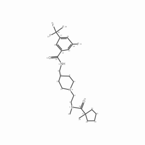 CN(CCN1CCC(CNC(=O)c2cc(F)cc(C(F)(F)F)c2)CC1)C(=O)C1(C)CCCC1